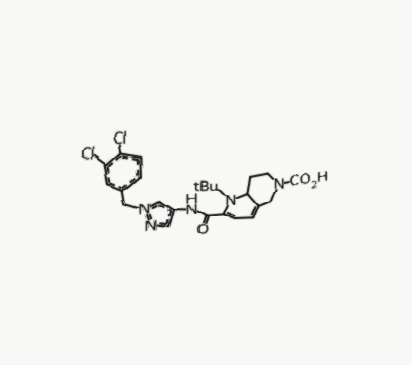 CC(C)(C)N1C(C(=O)Nc2cnn(Cc3ccc(Cl)c(Cl)c3)c2)=CC=C2CN(C(=O)O)CCC21